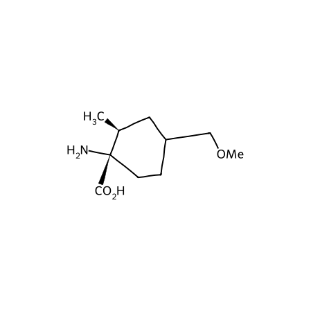 COCC1CC[C@@](N)(C(=O)O)[C@@H](C)C1